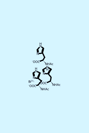 CC(=O)N[C@@H](Cc1c[nH]cn1)C(=O)[O-].CC(=O)N[C@@H](Cc1c[nH]cn1)C(=O)[O-].CC(=O)N[C@@H](Cc1c[nH]cn1)C(=O)[O-].[Bi+3]